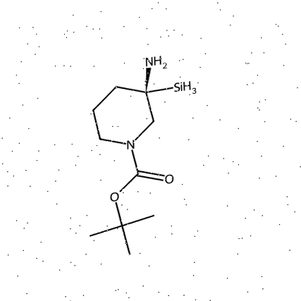 CC(C)(C)OC(=O)N1CCC[C@](N)([SiH3])C1